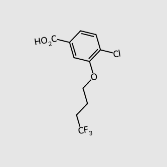 O=C(O)c1ccc(Cl)c(OCCCC(F)(F)F)c1